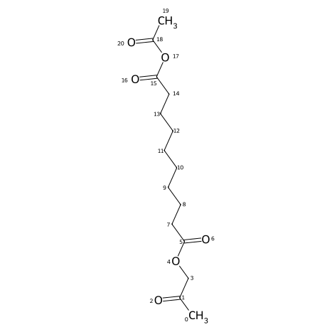 CC(=O)COC(=O)CCCCCCCCC(=O)OC(C)=O